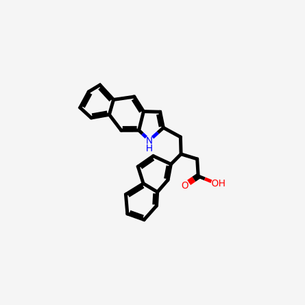 O=C(O)CC(Cc1cc2cc3ccccc3cc2[nH]1)c1ccc2ccccc2c1